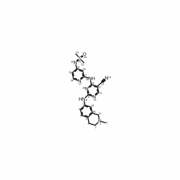 CN1CCc2ccc(Nc3ncc(C#N)c(Nc4cc(N=S(C)(C)=O)ccn4)n3)cc2C1